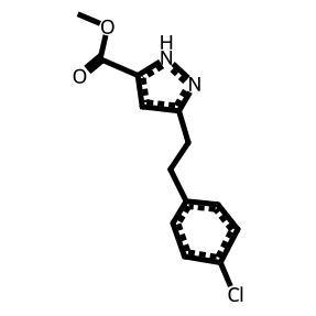 COC(=O)c1cc(CCc2ccc(Cl)cc2)n[nH]1